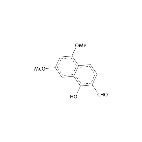 COc1cc(OC)c2ccc(C=O)c(O)c2c1